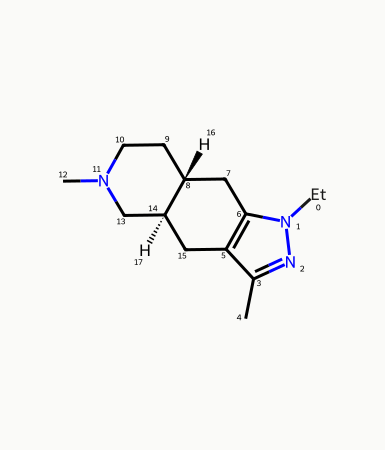 CCn1nc(C)c2c1C[C@H]1CCN(C)C[C@@H]1C2